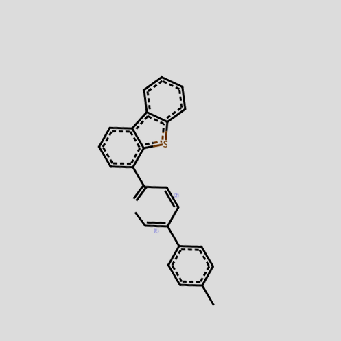 C=C(/C=C\C(=C/C)c1ccc(C)cc1)c1cccc2c1sc1ccccc12